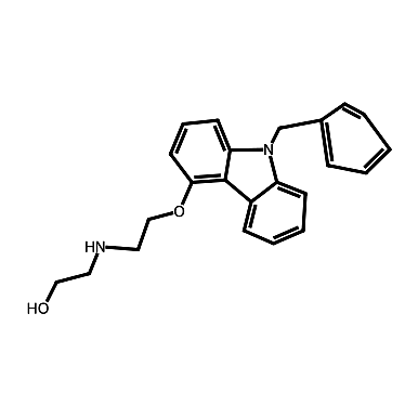 OCCNCCOc1cccc2c1c1ccccc1n2Cc1ccccc1